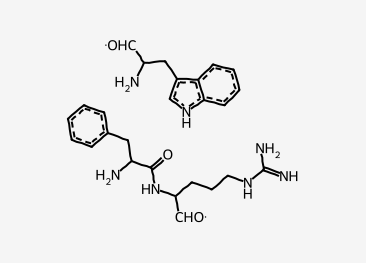 N=C(N)NCCCC([C]=O)NC(=O)C(N)Cc1ccccc1.NC([C]=O)Cc1c[nH]c2ccccc12